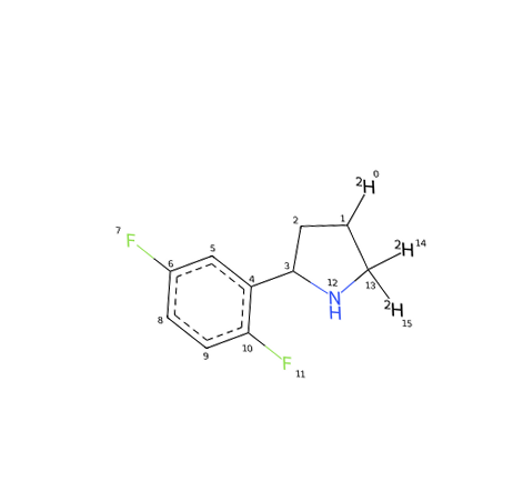 [2H]C1CC(c2cc(F)ccc2F)NC1([2H])[2H]